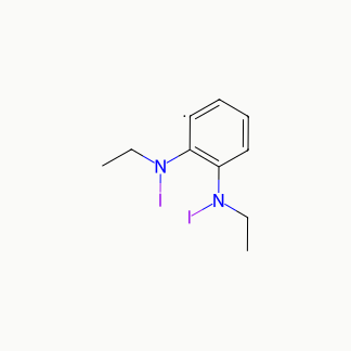 CCN(I)c1[c]cccc1N(I)CC